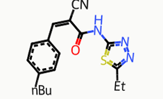 CCCCc1ccc(C=C(C#N)C(=O)Nc2nnc(CC)s2)cc1